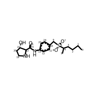 CCCCC(C)S(=O)(=O)Cc1ccc(NC(=O)C2NCC[C@@H]2O)cc1